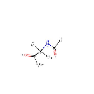 CCC(=O)NC(C)(CC)C(=O)OC